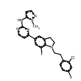 Cn1nccc1Nc1nccc(-c2cc(F)c3c(c2)CCN3CCc2ccc(F)cc2Cl)n1